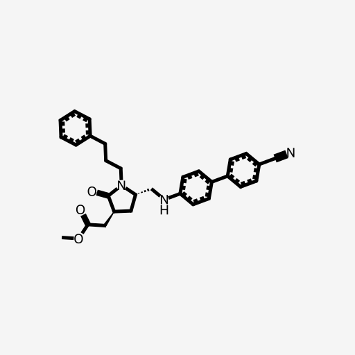 COC(=O)C[C@@H]1C[C@@H](CNc2ccc(-c3ccc(C#N)cc3)cc2)N(CCCc2ccccc2)C1=O